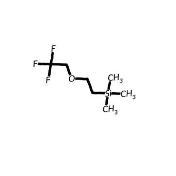 C[Si](C)(C)CCOCC(F)(F)F